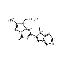 CCCc1nc2c(C)cc(-c3nc4ccccc4n3C)cc2n1CC(=O)OCC